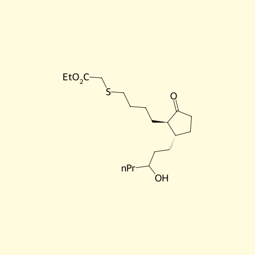 CCCC(O)CC[C@H]1CCC(=O)[C@@H]1CCCCSCC(=O)OCC